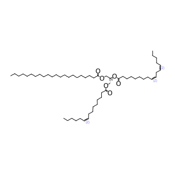 CCCC/C=C\C/C=C\CCCCCCCC(=O)O[C@H](COC(=O)CCCCCCC/C=C\CCCCC)COC(=O)CCCCCCCCCCCCCCCCCCCCC